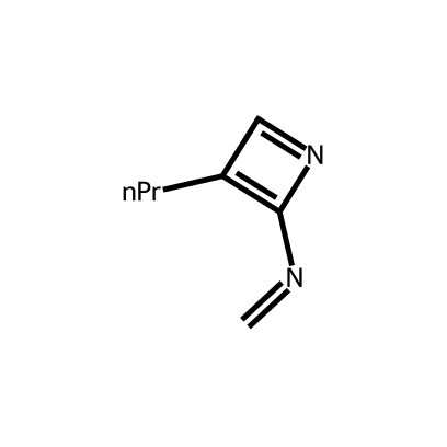 C=NC1=C(CCC)C=N1